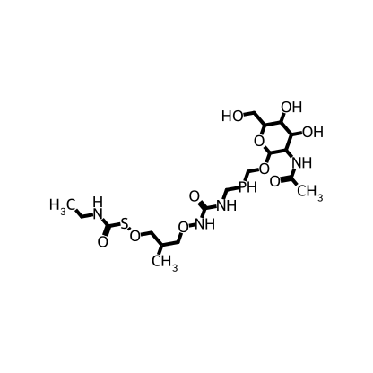 CCNC(=O)SOCC(C)CONC(=O)NCPCOC1OC(CO)C(O)C(O)C1NC(C)=O